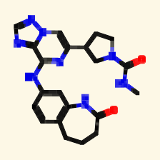 CNC(=O)N1CCC(c2cn3ncnc3c(Nc3ccc4c(c3)NC(=O)CCC4)n2)C1